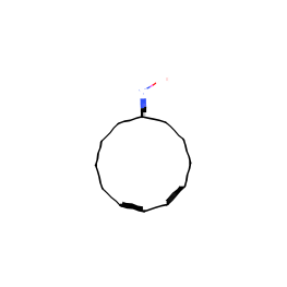 ON=C1CCCC=CC=CCCCC1